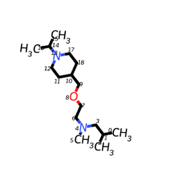 CC(C)CN(C)CCOCC1CCN(C(C)C)CC1